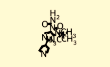 C[N+](C)(C)n1c(=O)n(C(N)=O)c2cnc(-c3ccncc3)nc21